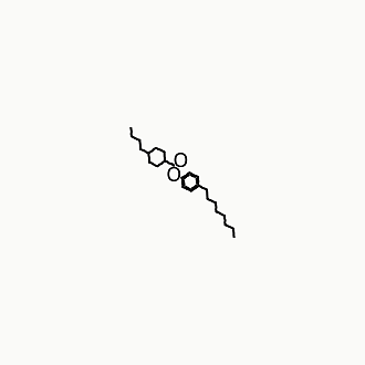 CCCCCCCCc1ccc(OC(=O)C2CCC(CCCC)CC2)cc1